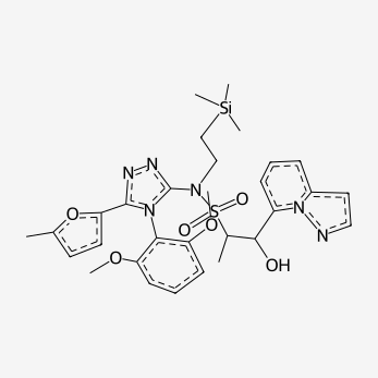 COc1cccc(OC)c1-n1c(-c2ccc(C)o2)nnc1N(CC[Si](C)(C)C)S(=O)(=O)C(C)C(O)c1cccc2ccnn12